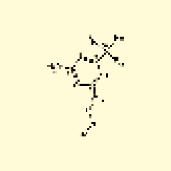 CCCOc1cc(N)cc(C(F)(F)F)c1